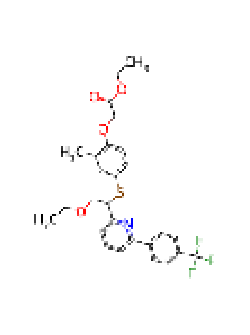 CCOCC(Sc1ccc(OCC(=O)OCC)c(C)c1)c1cccc(-c2ccc(C(F)(F)F)cc2)n1